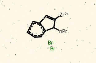 CCCC1[C]([Zr+2])=Cc2ccccc21.[Br-].[Br-]